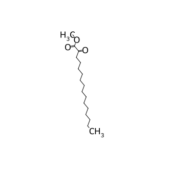 CCCCCCCCCCCCCCC(=O)C(=O)OC